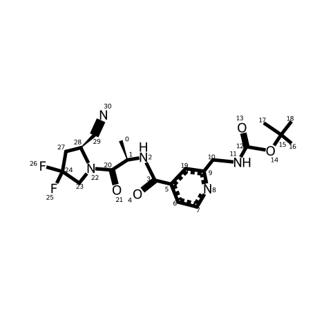 C[C@@H](NC(=O)c1ccnc(CNC(=O)OC(C)(C)C)c1)C(=O)N1CC(F)(F)C[C@H]1C#N